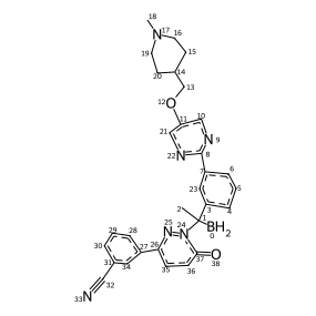 BC(C)(c1cccc(-c2ncc(OCC3CCN(C)CC3)cn2)c1)n1nc(-c2cccc(C#N)c2)ccc1=O